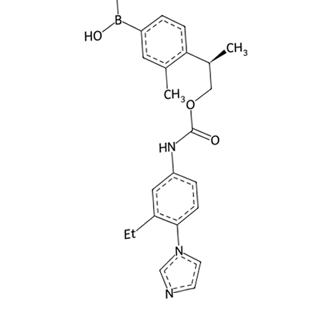 CCc1cc(NC(=O)OC[C@H](C)c2ccc(B(O)O)cc2C)ccc1-n1ccnc1